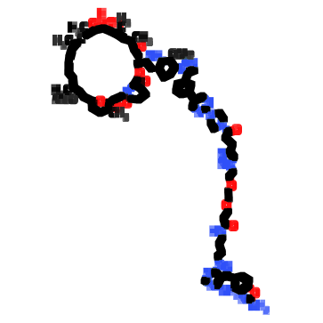 CO[C@H]1C[C@@H]2CC[C@@H](C)[C@@](O)(O2)C(=O)C(=O)N2CCCC[C@H]2C(=O)O[C@H]([C@H](N)C[C@@H]2CCC(n3nncc3-c3cccc(-c4cnc(N5CCN(C(=O)CCc6cn(CCOCCOCCC(=O)NCCCCn7nc(-c8ccc9oc(N)nc9c8)c8c(N)ncnc87)nn6)CC5)nc4)c3)[C@H](OC)C2)CC(=O)[C@H](C)/C=C(\C)[C@@H](O)[C@@H](O)C(=O)[C@H](C)C[C@H](C)/C=C/C=C/C=C/1C